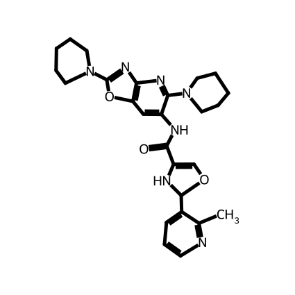 Cc1ncccc1C1NC(C(=O)Nc2cc3oc(N4CCCCC4)nc3nc2N2CCCCC2)=CO1